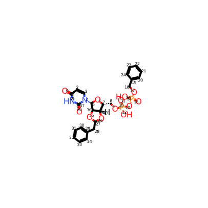 O=c1ccn([C@@H]2O[C@H](COP(=O)(O)OP(=O)(O)OCc3ccccc3)[C@@H]3OC(Cc4ccccc4)OC32)c(=O)[nH]1